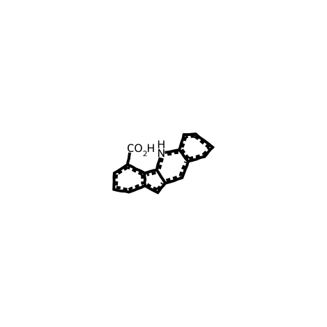 O=C(O)c1cccc2cc3cc4ccccc4[nH]c-3c12